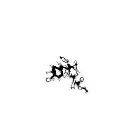 CCOC(=O)NC(=S)NC(Cc1ccc(Cl)cc1)C(=O)OC